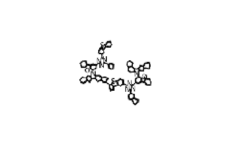 c1ccc(-c2nc(-c3ccc4sc5ccccc5c4c3)nc(-c3cc(-n4c5cc6ccccc6cc5c5cc6cc(-c7cccc8c7sc7ccc(-c9nc(-c%10ccc%11ccccc%11c%10)nc(-c%10cc(-n%11c%12cc%13ccccc%13cc%12c%12c%13ccccc%13ccc%12%11)c%11oc%12ccccc%12c%11c%10)n9)cc78)ccc6cc54)c4oc5ccccc5c4c3)n2)cc1